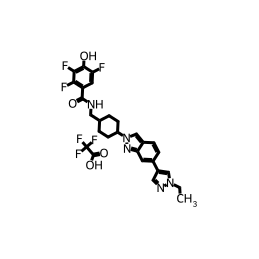 CCn1cc(-c2ccc3cn(C4CCC(CNC(=O)c5cc(F)c(O)c(F)c5F)CC4)nc3c2)cn1.O=C(O)C(F)(F)F